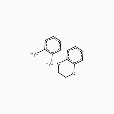 Cc1ccccc1C.c1ccc2c(c1)OCCO2